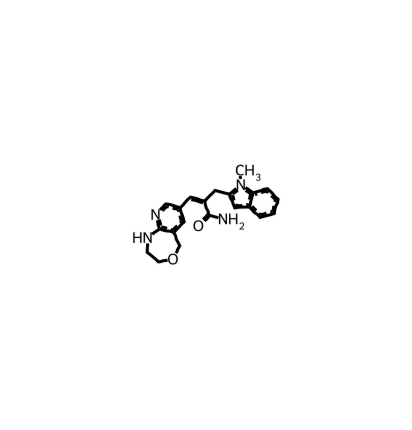 Cn1c(CC(=Cc2cnc3c(c2)COCCN3)C(N)=O)cc2ccccc21